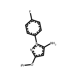 CC(C)Oc1cc(N)n(-c2ccc(F)cc2)n1